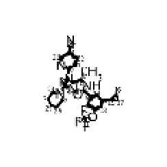 C[C@H](NC(=O)c1cc(OC(F)(F)F)cc(C2CC2)c1)c1nc(N2CCCCC2)nn1-c1ccc(C#N)cn1